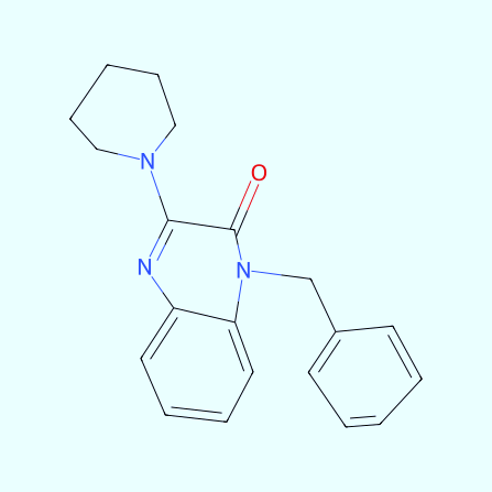 O=c1c(N2CCCCC2)nc2ccccc2n1Cc1ccccc1